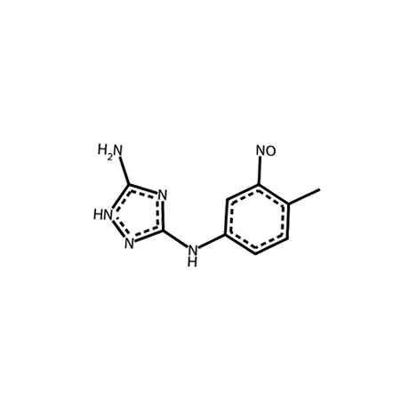 Cc1ccc(Nc2n[nH]c(N)n2)cc1N=O